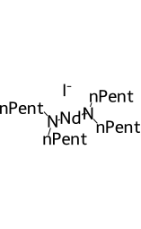 CCCCC[N](CCCCC)[Nd+][N](CCCCC)CCCCC.[I-]